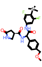 COCc1ccc(C(NC(=O)[C@H]2CNC(=O)C2)C(=O)Nc2cc(F)c([Si](C)(C)C)c(F)c2)cc1